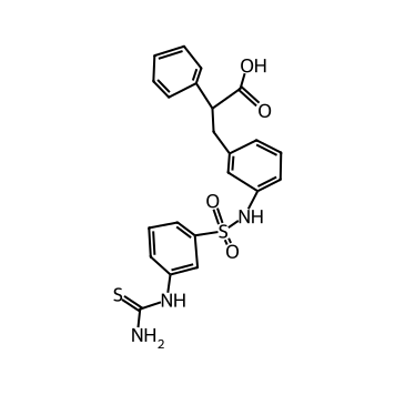 NC(=S)Nc1cccc(S(=O)(=O)Nc2cccc(CC(C(=O)O)c3ccccc3)c2)c1